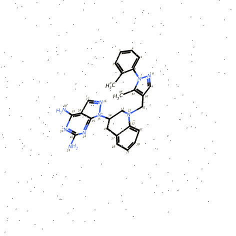 Cc1ccccc1-n1ncc(CN2CC(n3ncc4c(N)nc(N)nc43)Cc3ccccc32)c1C